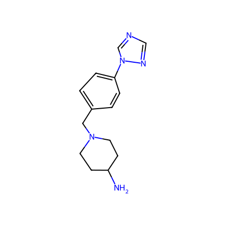 NC1CCN(Cc2ccc(-n3cncn3)cc2)CC1